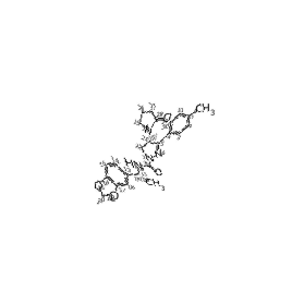 Cc1ccc(C2=NN(C(=O)N[C@H](C)c3ccc4c(c3)OCO4)C[C@@H]2N2CCCC2=O)cc1